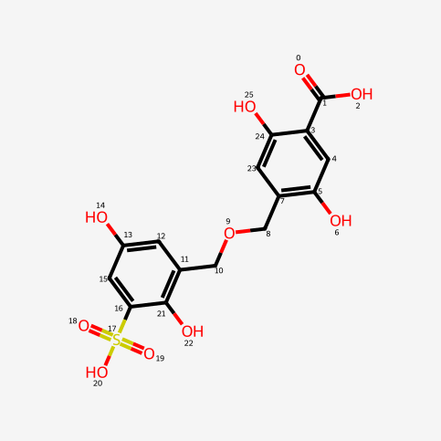 O=C(O)c1cc(O)c(COCc2cc(O)cc(S(=O)(=O)O)c2O)cc1O